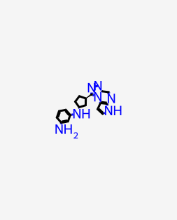 Nc1cccc(N[C@@H]2CC[C@@H](c3nnc4cnc5[nH]ccc5n34)C2)c1